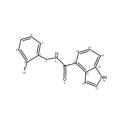 O=C(NCc1ccccc1F)c1cccc2[nH]ccc12